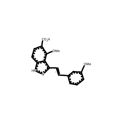 COc1cccc(/C=C/c2n[nH]c3ccc(C(=O)O)c(OC)c23)c1